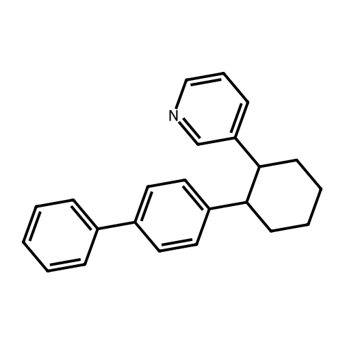 c1ccc(-c2ccc(C3CCCCC3c3cccnc3)cc2)cc1